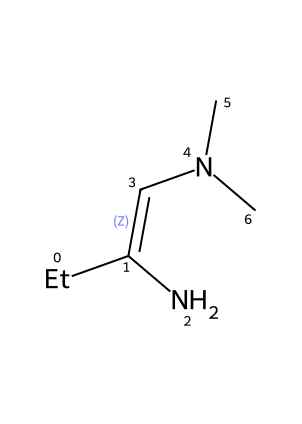 CC/C(N)=C/N(C)C